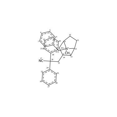 C[N+]1(Cc2ccccc2)C2CCC1CC(CC(C#N)(c1ccccc1)c1ccccc1)C2